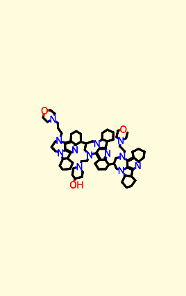 OC1CCN(CCN2CC(C3CCCc4c3nc3c5c4N(CCCN4CCOCC4)CCCN5C4CCCCC34)CN3c4c(nc5c(c42)CCCC5C2CN(CCN4CCOCC4)c4c5c(nc6c4N(C2)C2CCCCC62)CCCC5)C2CCCCC23)CC1